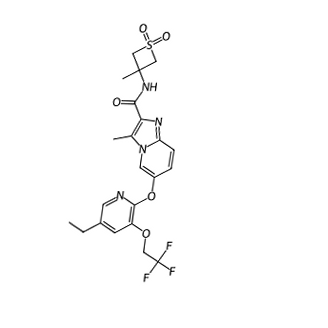 CCc1cnc(Oc2ccc3nc(C(=O)NC4(C)CS(=O)(=O)C4)c(C)n3c2)c(OCC(F)(F)F)c1